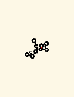 C1=CC2c3ccccc3N(c3ccccc3-c3ccc(N(c4ccc(-c5ccccc5)cc4)c4ccc(-c5cccc6c5sc5ccccc56)cc4)cc3)C2C=C1